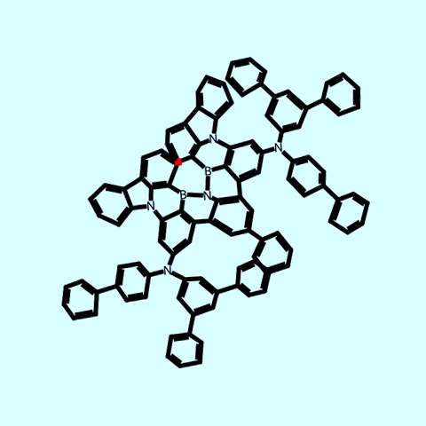 c1ccc(-c2ccc(N(c3cc(-c4ccccc4)cc(-c4ccccc4)c3)c3cc4c5c(c3)-n3c6ccccc6c6cccc(c63)B5N3B5c6c(cc(N(c7ccc(-c8ccccc8)cc7)c7cc(-c8ccccc8)cc(-c8ccccc8)c7)cc6-n6c7ccccc7c7cccc5c76)-c5cc(-c6ccccc6)cc-4c53)cc2)cc1